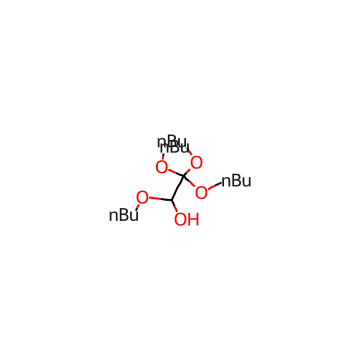 CCCCOC(O)C(OCCCC)(OCCCC)OCCCC